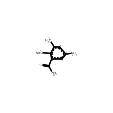 COc1c(C)cc(N)cc1C(N)=O